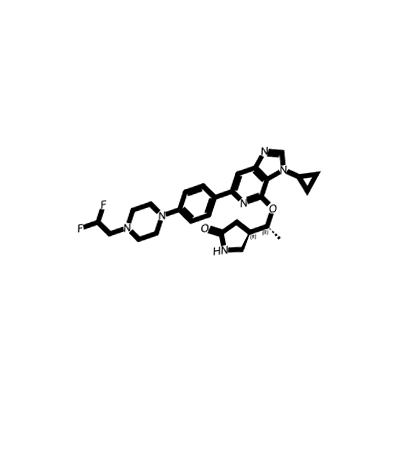 C[C@@H](Oc1nc(-c2ccc(N3CCN(CC(F)F)CC3)cc2)cc2ncn(C3CC3)c12)[C@H]1CNC(=O)C1